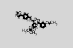 CCOc1cccc(C(=O)N2CC(OC(C)(C)C)C[C@H]2C(=O)NCc2ccc(-c3cnco3)cc2)c1